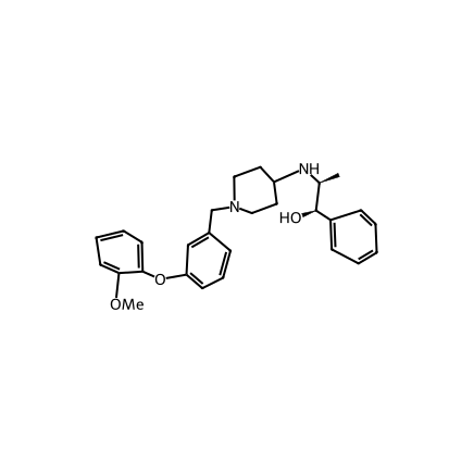 COc1ccccc1Oc1cccc(CN2CCC(N[C@@H](C)[C@H](O)c3ccccc3)CC2)c1